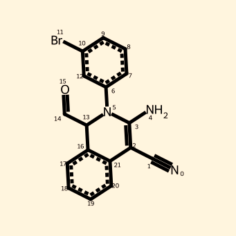 N#CC1=C(N)N(c2cccc(Br)c2)C(C=O)c2ccccc21